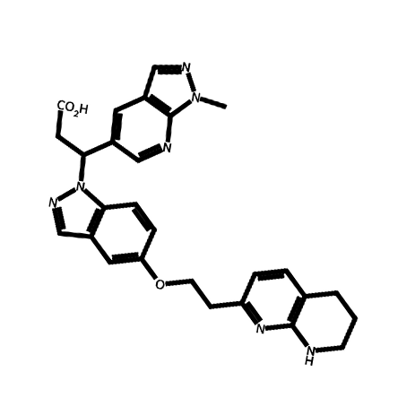 Cn1ncc2cc(C(CC(=O)O)n3ncc4cc(OCCc5ccc6c(n5)NCCC6)ccc43)cnc21